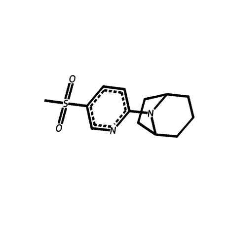 CS(=O)(=O)c1ccc(N2C3CCCC2CC3)nc1